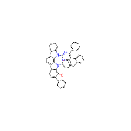 c1ccc(-c2nc(-n3c4ccccc4c4ccc5c6ccc7c8ccccc8oc7c6n(-c6ccccc6)c5c43)nc3ccc4ccccc4c23)cc1